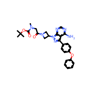 CN(CC(=O)N1CC(n2nc(-c3ccc(Oc4ccccc4)cc3)c3c(N)ncnc32)C1)C(=O)OC(C)(C)C